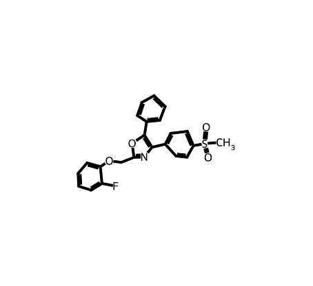 CS(=O)(=O)c1ccc(-c2nc(COc3ccccc3F)oc2-c2ccccc2)cc1